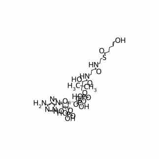 CC(C)(COP(=O)(O)OP(=O)(O)OC[C@H]1O[C@@H](n2cnc3c(N)ncnc32)[C@H](O)[C@@H]1OP(=O)(O)O)C(O)C(=O)NCCC(=O)NCCSC(=O)CCC=CO